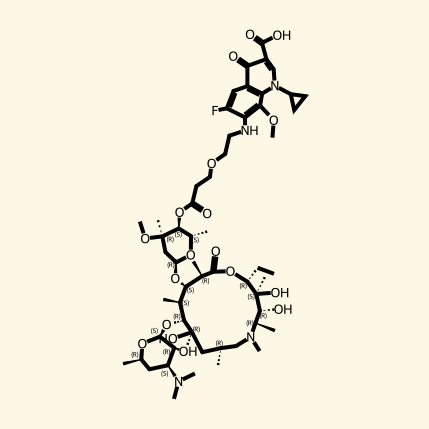 CC[C@H]1OC(=O)[C@H](C)[C@@H](O[C@H]2C[C@@](C)(OC)[C@@H](OC(=O)CCOCCNc3c(F)cc4c(=O)c(C(=O)O)cn(C5CC5)c4c3OC)[C@H](C)O2)[C@H](C)[C@@H](O[C@@H]2O[C@H](C)C[C@H](N(C)C)[C@H]2O)[C@](C)(O)C[C@@H](C)CN(C)[C@H](C)[C@@H](O)[C@]1(C)O